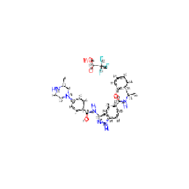 CC1CN(c2ccc(C(=O)Nc3n[nH]c4ccc(C(=O)NC(C)c5ccccc5)cc34)cc2)CCN1.O=C(O)C(F)(F)F